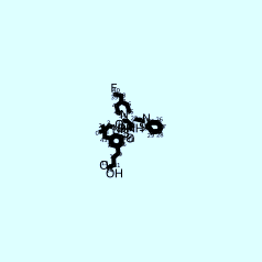 CC1(C)CNc2c(cc(CCCC(=O)O)cc2S(=O)(=O)N[C@@H](Cc2nc3ccccc3s2)C(=O)N2CCC(CCF)CC2)C1